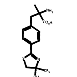 CC(N)(Cc1ccc(C2=NC(O)(C(F)(F)F)CS2)cc1)C(=O)O